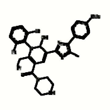 CCc1cccc(CC)c1N1C(CC(C)C)=C(C(=O)N2CCNCC2)C=C(c2nc(-c3ccc(OCC(C)C)cc3)c(C)s2)C1O